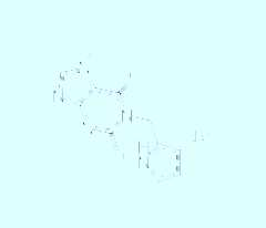 Cn1cnc2c1c(=O)n(Cc1[nH]ccc1Br)c(=O)n2C